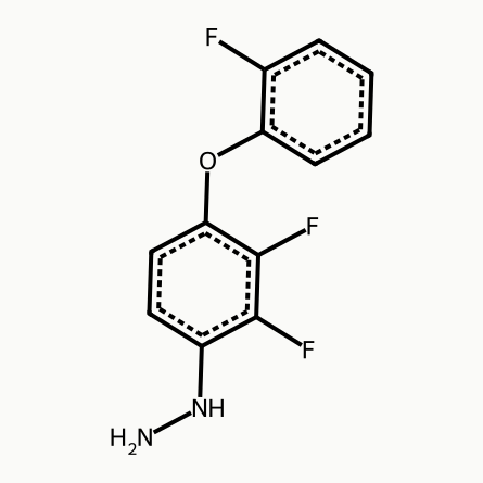 NNc1ccc(Oc2ccccc2F)c(F)c1F